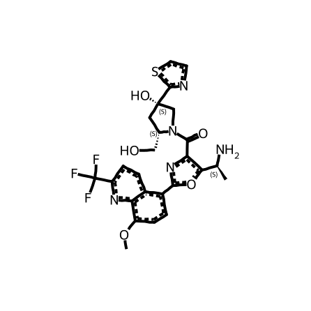 COc1ccc(-c2nc(C(=O)N3C[C@](O)(c4nccs4)C[C@H]3CO)c([C@H](C)N)o2)c2ccc(C(F)(F)F)nc12